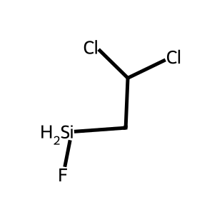 F[SiH2]CC(Cl)Cl